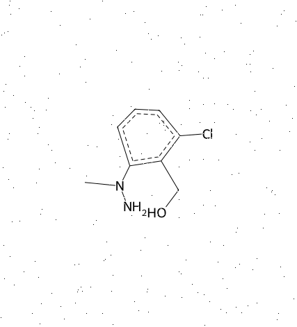 CN(N)c1cccc(Cl)c1CO